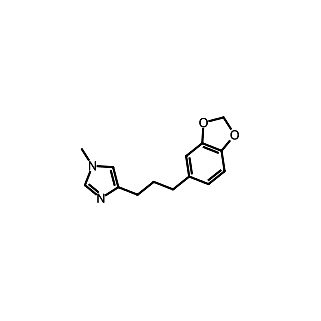 Cn1cnc(CCCc2ccc3c(c2)OCO3)c1